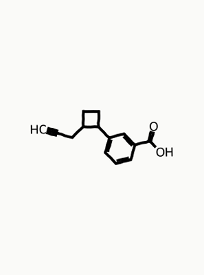 C#CCC1CCC1c1cccc(C(=O)O)c1